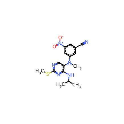 CSc1ncc(N(C)c2cc(C#N)cc([N+](=O)[O-])c2)c(NC(C)C)n1